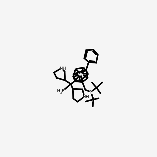 CC(C)(C)P(C[C]12[CH]3[C]4(c5ccccc5)[CH]5[C]1(C(P)(C1CCNC1)C1CCNC1)[Fe]35421678[CH]2[CH]1[CH]6[CH]7[CH]28)C(C)(C)C